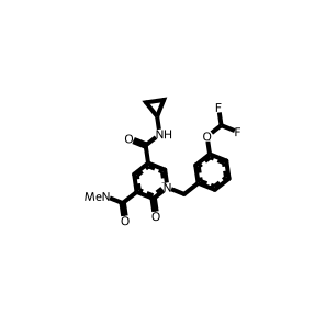 CNC(=O)c1cc(C(=O)NC2CC2)cn(Cc2cccc(OC(F)F)c2)c1=O